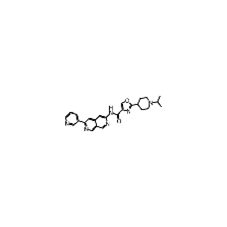 CC(C)N1CCC(c2nc(C(=O)Nc3cc4cc(-c5cccnc5)ncc4cn3)co2)CC1